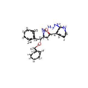 Nc1ncccc1-c1cc(C(OCc2ccccc2)c2ccccc2)no1